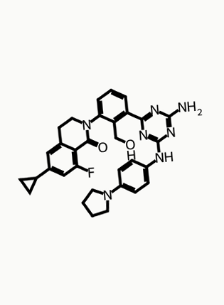 Nc1nc(Nc2ccc(N3CCCC3)cc2)nc(-c2cccc(N3CCc4cc(C5CC5)cc(F)c4C3=O)c2CO)n1